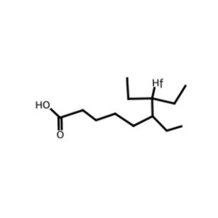 CCC(CCCCC(=O)O)[C]([Hf])(CC)CC